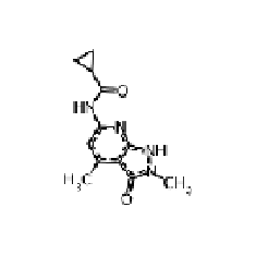 Cc1cc(NC(=O)C2CC2)nc2[nH]n(C)c(=O)c12